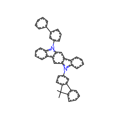 CC1(C)c2ccccc2-c2cc(-n3c4ccccc4c4cc5c(cc43)c3ccccc3n5-c3cccc(-c4ccccc4)c3)ccc21